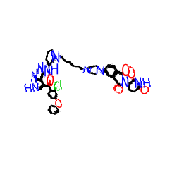 O=C1CCC(N2C(=O)c3ccc(N4CCN(CCCCCCN5CCC[C@@H](Nc6ncnc7[nH]cc(C(=O)c8ccc(Oc9ccccc9)cc8Cl)c67)C5)CC4)cc3C2=O)C(=O)N1